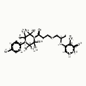 [2H]C1([2H])N(C(=O)CCOCC(C)Oc2cn[nH]c(=O)c2C(F)(F)F)C([2H])([2H])C([2H])([2H])N(c2ccc(C#N)cn2)C1([2H])[2H]